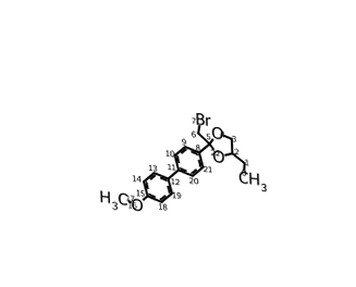 CCC1COC(CBr)(c2ccc(-c3ccc(OC)cc3)cc2)O1